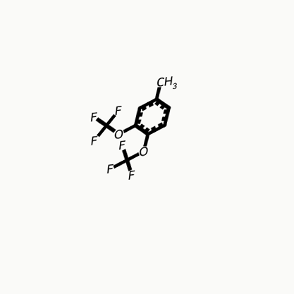 Cc1ccc(OC(F)(F)F)c(OC(F)(F)F)c1